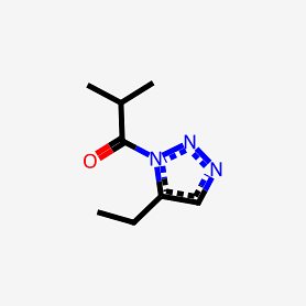 CCc1cnnn1C(=O)C(C)C